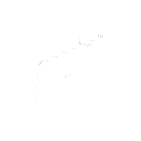 CCCCCCCC/C=C\CCCCCCCC(=O)NCCN.F